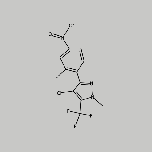 Cn1nc(-c2c[c]c([N+](=O)[O-])cc2F)c(Cl)c1C(F)(F)F